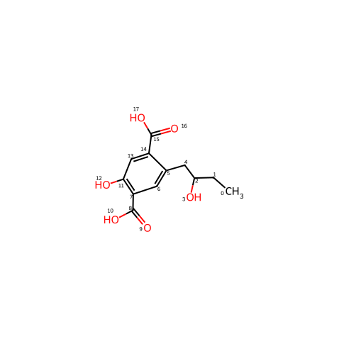 CCC(O)Cc1cc(C(=O)O)c(O)cc1C(=O)O